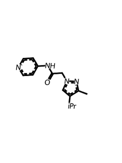 Cc1nn(CC(=O)Nc2ccncc2)cc1C(C)C